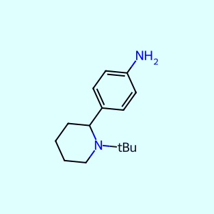 CC(C)(C)N1CCCCC1c1ccc(N)cc1